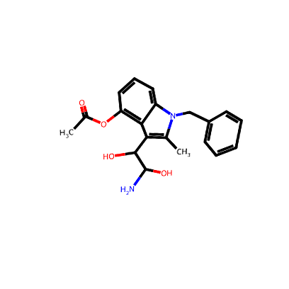 CC(=O)Oc1cccc2c1c(C(O)C(N)O)c(C)n2Cc1ccccc1